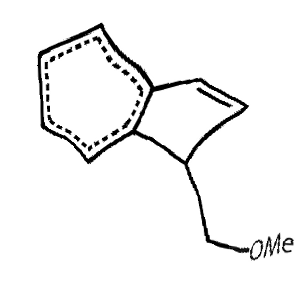 COCC1C=Cc2ccccc21